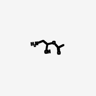 CC(=O)OC(O)CN